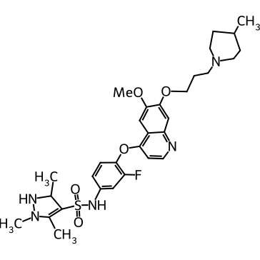 COc1cc2c(Oc3ccc(NS(=O)(=O)C4=C(C)N(C)NC4C)cc3F)ccnc2cc1OCCCN1CCC(C)CC1